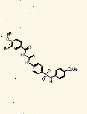 CCCOc1ccc(C(=O)NC(=S)Nc2ccc(S(=O)(=O)Nc3ccc(OC)cc3)cc2)cc1Br